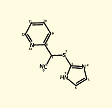 N#CC(Sc1ncc[nH]1)c1ccccn1